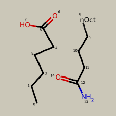 CCCCCC(=O)O.CCCCCCCCCCCC(N)=O